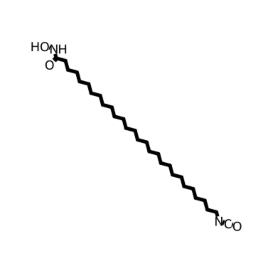 O=C=NCCCCCCCCCCCCCCCCCCCCCCCCCCCC(=O)NO